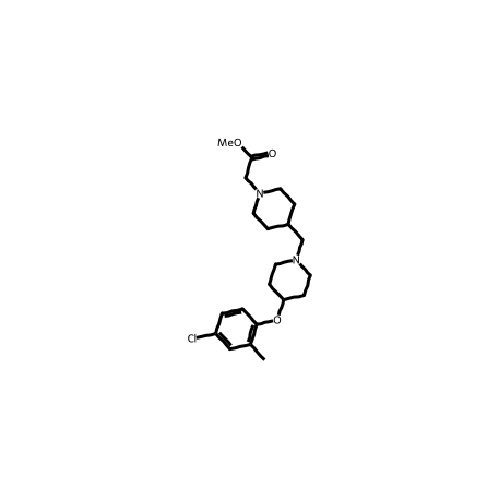 COC(=O)CN1CCC(CN2CCC(Oc3ccc(Cl)cc3C)CC2)CC1